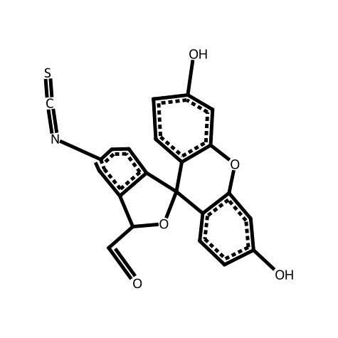 O=CC1OC2(c3ccc(O)cc3Oc3cc(O)ccc32)c2ccc(N=C=S)cc21